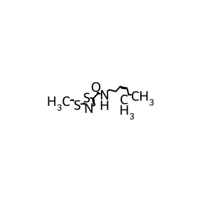 CCSc1ncc(C(=O)NCC/C=C\C(C)C)s1